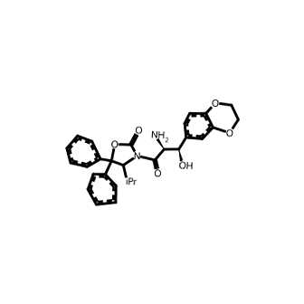 CC(C)C1N(C(=O)[C@@H](N)[C@H](O)c2ccc3c(c2)OCCO3)C(=O)OC1(c1ccccc1)c1ccccc1